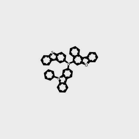 c1ccc(-n2c3ccccc3c3ccc(N(c4ccc5sc6ccccc6c5c4)c4cc5oc6ccccc6c5c5ccccc45)cc32)cc1